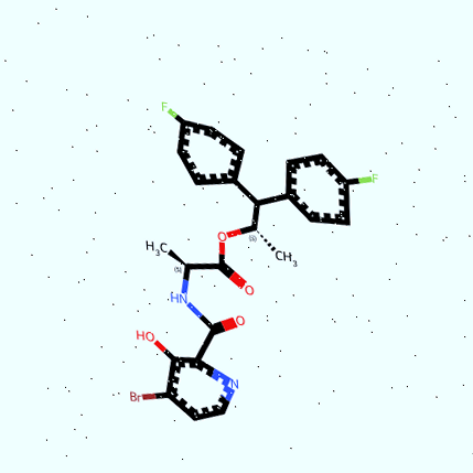 C[C@H](NC(=O)c1nccc(Br)c1O)C(=O)O[C@@H](C)C(c1ccc(F)cc1)c1ccc(F)cc1